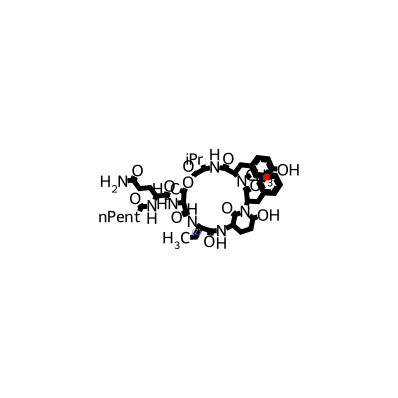 C/C=C1\NC(=O)C(NC(=O)C(CCC(N)=O)NC(=O)CCCCC)C(C)OC(=O)C(C(C)C)NC(=O)C(Cc2ccc(O)cc2)N(C)C(=O)C(Cc2ccccc2)N2C(=O)C(CCC2O)NC1=O